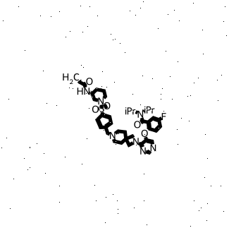 C=CC(=O)N[C@@H]1CCCN(S(=O)(=O)c2ccc(CN3CCC4(CC3)CN(c3ncncc3Oc3ccc(F)cc3C(=O)N(C(C)C)C(C)C)C4)cc2)C1